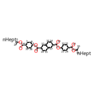 CCCCCCC[C@@H](C)OC(=O)c1ccc(OC(=O)c2ccc3cc(C(=O)Oc4ccc(C(=O)O[C@H](C)CCCCCCC)cc4)ccc3c2)cc1